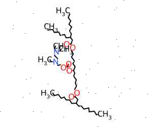 CCCCCCCCC(CCCCCCCC)CC(=O)OCCCCCCC(CCCCCCOC(=O)CC(CCCCCCCC)CCCCCCCC)OC(=O)OCCN(CC)CCN(CC)CC